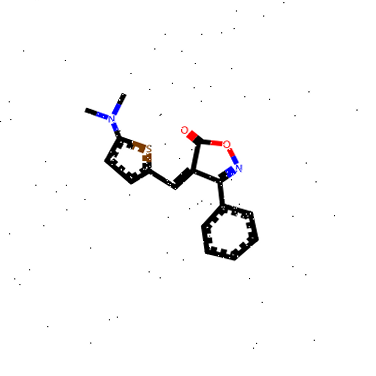 CN(C)c1ccc(/C=C2\C(=O)ON=C2c2ccccc2)s1